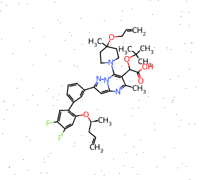 C=CCOC1(C)CCN(c2c(C(OC(C)(C)C)C(=O)O)c(C)nc3cc(-c4cccc(-c5cc(F)c(F)cc5O[C@@H](C)CC=C)c4)nn23)CC1